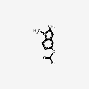 CCC(=O)Oc1ccc2c(c1)cc(C)n2C